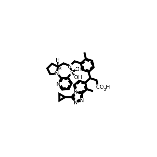 Cc1ccc(C(CC(=O)O)c2ccn3c(C4CC4)nnc3c2C)cc1CN1C[C@H]2CCCN2c2ncccc2S1(O)O